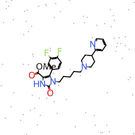 COC(=O)c1[nH]c(=O)n(CCCCCN2CCC(c3ccccn3)CC2)c1-c1ccc(F)c(F)c1